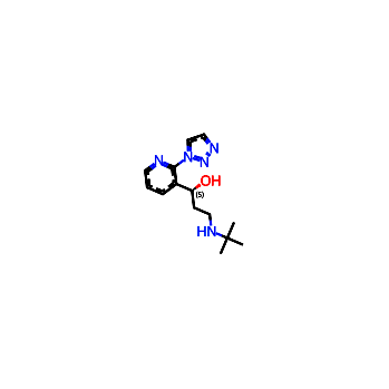 CC(C)(C)NCC[C@H](O)c1cccnc1-n1ccnn1